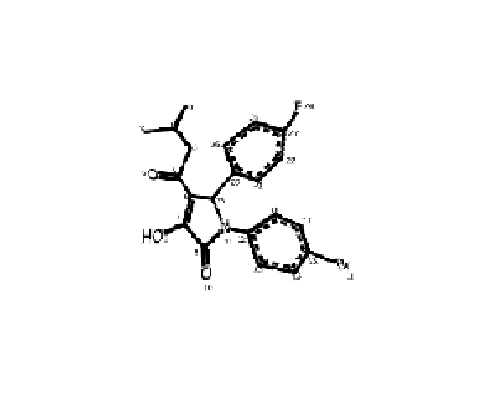 CC(C)CC(=O)C1=C(O)C(=O)N(c2ccc(Br)cc2)C1c1ccc(F)cc1